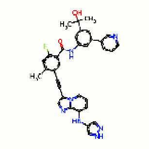 Cc1cc(F)c(C(=O)Nc2cc(-c3cccnc3)cc(C(C)(C)O)c2)cc1C#Cc1cnc2c(Nc3cn[nH]c3)cccn12